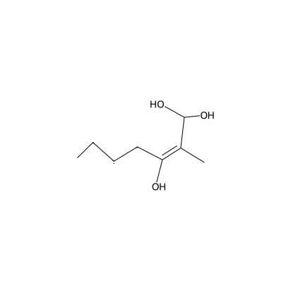 CC[CH]CC(O)=C(C)C(O)O